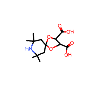 CC1(C)CC2(CC(C)(C)N1)OC(C(=O)O)C(C(=O)O)O2